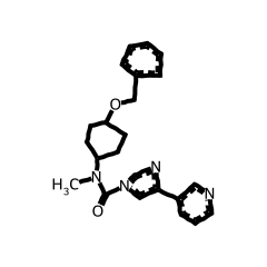 CN(C(=O)n1cnc(-c2cccnc2)c1)C1CCC(OCc2ccccc2)CC1